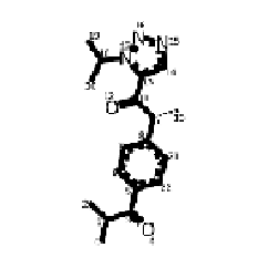 CC(C)C(=O)c1ccc([C@@H](C)C(=O)c2cnnn2C(C)C)cc1